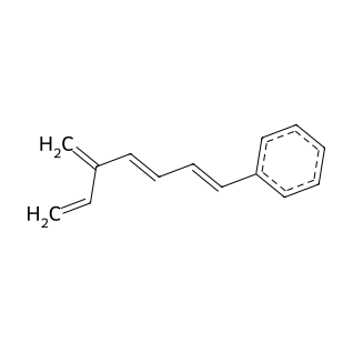 C=CC(=C)C=CC=Cc1ccccc1